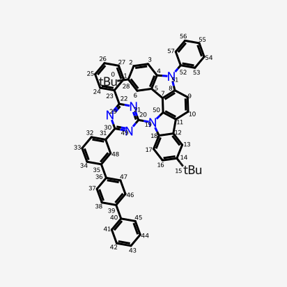 CC(C)(C)c1ccc2c(c1)c1c(ccc3c4cc(C(C)(C)C)ccc4n(-c4nc(-c5ccccc5)nc(-c5cccc(-c6ccc(-c7ccccc7)cc6)c5)n4)c31)n2-c1ccccc1